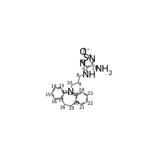 Nc1n[s+]([O-])nc1NCCCN1c2ccccc2CCc2ccccc21